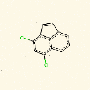 Clc1cc(Cl)c2cccc3c2c1C=C3